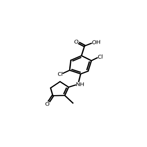 CC1=C(Nc2cc(Cl)c(C(=O)O)cc2Cl)CCC1=O